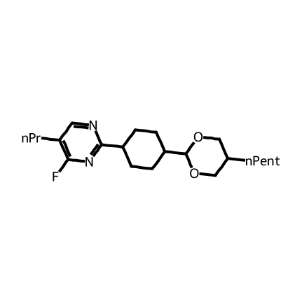 CCCCCC1COC(C2CCC(c3ncc(CCC)c(F)n3)CC2)OC1